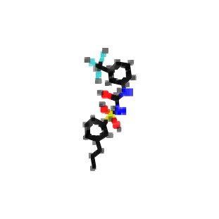 CCCc1cccc(S(=O)(=O)NC(=O)Nc2cccc(C(F)(F)F)c2)c1